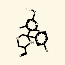 COc1cc(F)c(C2(c3cccc(Br)c3)COCC(C=S)N2)c(F)n1